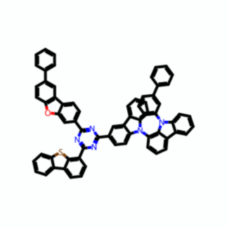 c1ccc(-c2cccc(-n3c4ccccc4c4cccc(-n5c6ccccc6c6cc(-c7nc(-c8ccc9c(c8)oc8ccc(-c%10ccccc%10)cc89)nc(-c8cccc9c8sc8ccccc89)n7)ccc65)c43)c2)cc1